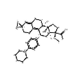 CO[C@]1(C(C)=O)CC[C@H]2[C@@H]3CCC4=CC5(CCC4=C3[C@@H](c3ccc(N4CCCCC4)cc3)C[C@@]21C)OO5